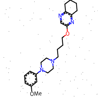 COc1cccc(N2CCN(CCCCOc3cnc4c(n3)CCCC4)CC2)c1